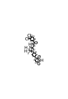 N/C(=C\N(N)c1ccc(-n2ccc(=O)[nH]c2=O)cc1)CNC(=O)c1ccc(Cl)c(Cl)c1